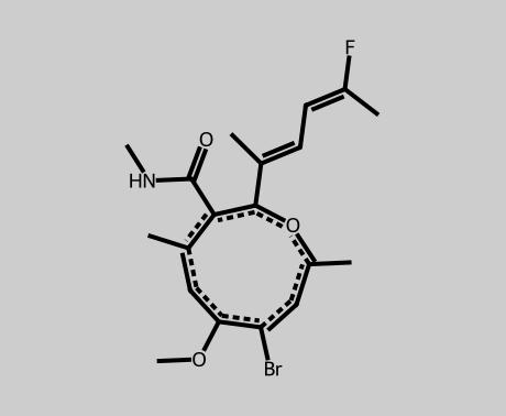 CNC(=O)c1c(C)cc(OC)c(Br)cc(C)oc1/C(C)=C/C=C(\C)F